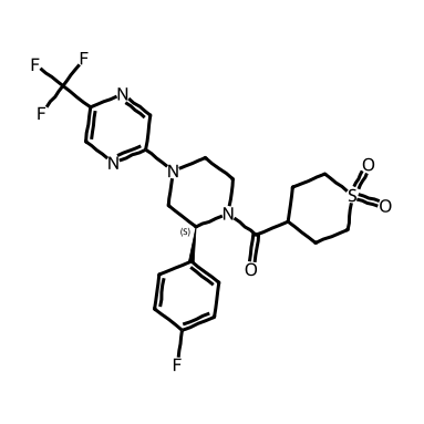 O=C(C1CCS(=O)(=O)CC1)N1CCN(c2cnc(C(F)(F)F)cn2)C[C@@H]1c1ccc(F)cc1